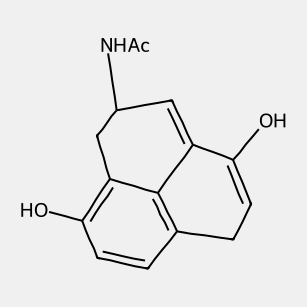 CC(=O)NC1C=C2C(O)=CCc3ccc(O)c(c32)C1